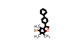 Cc1c(C)c2c(c(C)c1Br)C(c1ccc(-c3ccccc3)cc1)CO2